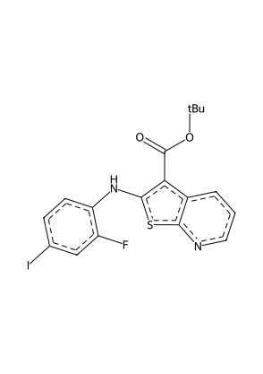 CC(C)(C)OC(=O)c1c(Nc2ccc(I)cc2F)sc2ncccc12